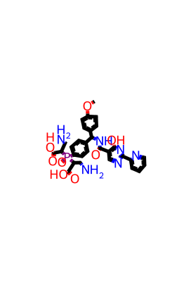 COc1ccc(C(NC(=O)c2cnc(-c3ccccn3)nc2O)c2ccc(P(=O)(C(CN)C(=O)O)C(CN)C(=O)O)cc2)cc1